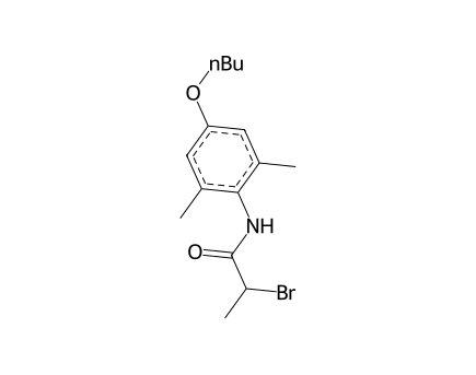 CCCCOc1cc(C)c(NC(=O)C(C)Br)c(C)c1